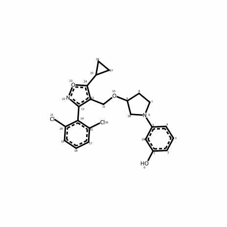 Oc1cccc(N2CCC(OCc3c(-c4c(Cl)cccc4Cl)noc3C3CC3)C2)c1